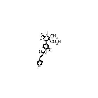 CC1=C(C(=O)O)C(c2ccc(OC(=O)C=Cc3ccncc3)c(Cl)c2)NC(=S)N1